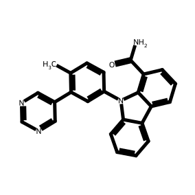 Cc1ccc(-n2c3ccccc3c3cccc(C(N)=O)c32)cc1-c1cncnc1